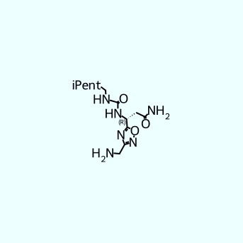 CCCC(C)CNC(=O)N[C@H](CC(N)=O)c1nc(CN)no1